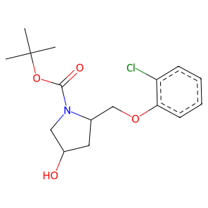 CC(C)(C)OC(=O)N1CC(O)CC1COc1ccccc1Cl